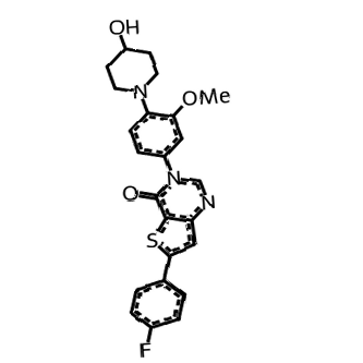 COc1cc(-n2cnc3cc(-c4ccc(F)cc4)sc3c2=O)ccc1N1CCC(O)CC1